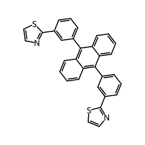 c1cc(-c2nccs2)cc(-c2c3ccccc3c(-c3cccc(-c4nccs4)c3)c3ccccc23)c1